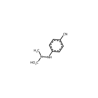 CN(Nc1ccc(C#N)cc1)C(=O)O